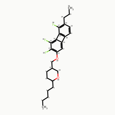 CCCCCC1CCC(COc2cc3c(c(F)c2F)-c2c-3ccc(CCC)c2F)CO1